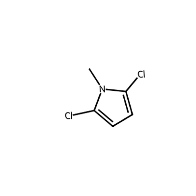 Cn1c(Cl)ccc1Cl